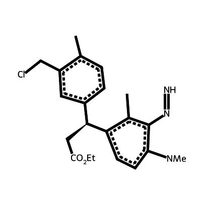 CCOC(=O)C[C@@H](c1ccc(C)c(CCl)c1)c1ccc(NC)c(N=N)c1C